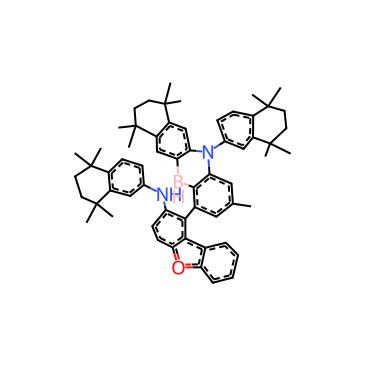 Cc1cc(-c2c(Nc3ccc4c(c3)C(C)(C)CCC4(C)C)ccc3oc4ccccc4c23)c2c(c1)N(c1ccc3c(c1)C(C)(C)CCC3(C)C)c1cc3c(cc1B2)C(C)(C)CCC3(C)C